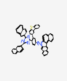 c1ccc2cc(-c3nc(-c4ccc5ccccc5c4)nc(-c4ccc(-n5c6cc7ccccc7cc6c6c7ccccc7ccc65)cc4-c4ccc5sc6ccccc6c5c4)n3)ccc2c1